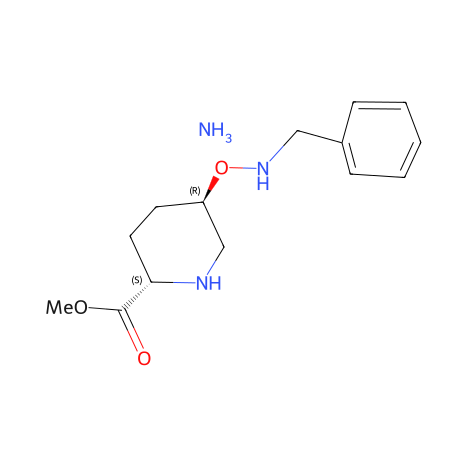 COC(=O)[C@@H]1CC[C@@H](ONCc2ccccc2)CN1.N